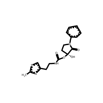 Cc1nc(CCNC(=O)O[C@@]2(O)CCN(c3ccccc3)C2=O)cs1